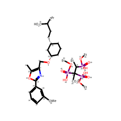 CCCC(CC[C@@H]1CCC[C@H](OCc2nc(-c3cccc(OC)c3)oc2C)C1)C(=O)O.CCOP(=O)(O)C(CC)C(C(=O)O)(P(=O)(O)OCC)P(=O)(O)OCC